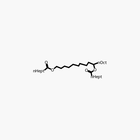 CCCCCCCCC(CCCCCCCCCOC(=O)CCCCCCC)OC(=O)CCCCCCC